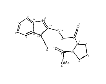 COC(=O)[C@@H]1CCCN1C(=O)CSc1nc2ccccc2n1C